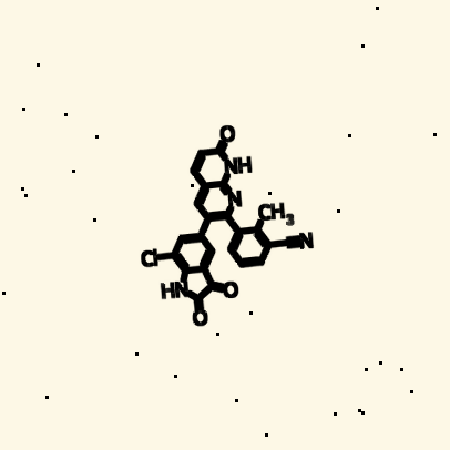 Cc1c(C#N)cccc1-c1nc2[nH]c(=O)ccc2cc1-c1cc(Cl)c2c(c1)C(=O)C(=O)N2